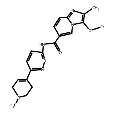 CCOc1c(C)nc2ccc(C(=O)Nc3ccc(C4=CCN(C)CC4)nn3)cn12